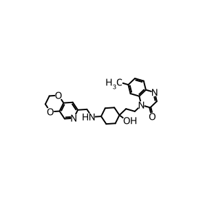 Cc1ccc2ncc(=O)n(CCC3(O)CCC(NCc4cc5c(cn4)OCCO5)CC3)c2c1